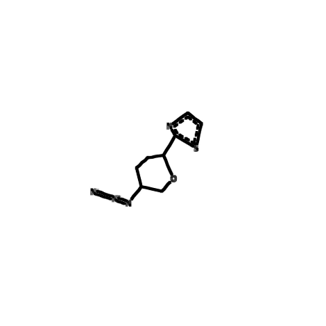 [N-]=[N+]=NC1CCC(c2nccs2)OC1